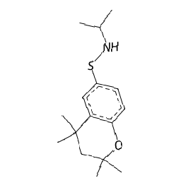 CC(C)NSc1ccc2c(c1)C(C)(C)CC(C)(C)O2